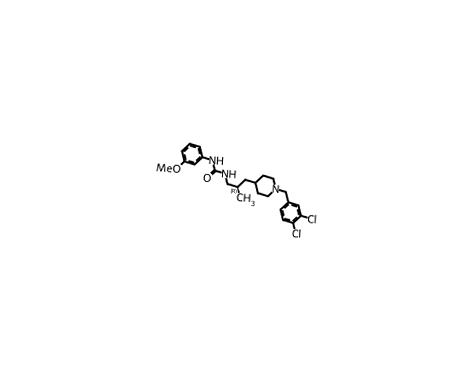 COc1cccc(NC(=O)NC[C@H](C)CC2CCN(Cc3ccc(Cl)c(Cl)c3)CC2)c1